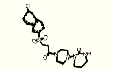 O=C(CCS(=O)(=O)c1ccc2cc(Cl)ccc2c1)N1CCN(N2CCCNC2=O)CC1